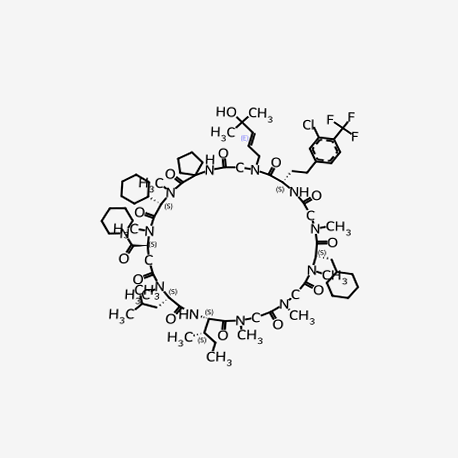 CC[C@H](C)[C@@H]1NC(=O)[C@H](CC(C)C)N(C)C(=O)C[C@@H](C(=O)N2CCCCC2)N(C)C(=O)[C@H](C2CCCCC2)N(C)C(=O)C2(CCCC2)NC(=O)CN(C/C=C/C(C)(C)O)C(=O)[C@H](CCc2ccc(C(F)(F)F)c(Cl)c2)NC(=O)CN(C)C(=O)[C@H](CC2CCCCC2)N(C)C(=O)CN(C)C(=O)CN(C)C1=O